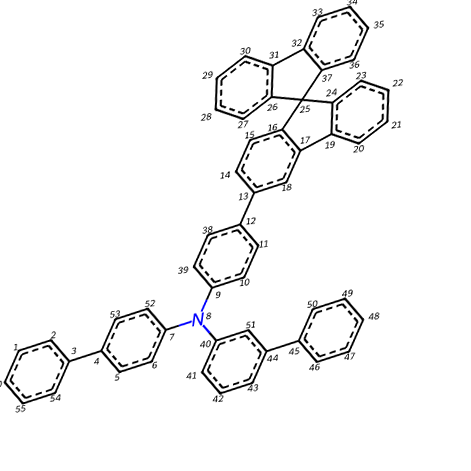 c1ccc(-c2ccc(N(c3ccc(-c4ccc5c(c4)-c4ccccc4C54c5ccccc5-c5ccccc54)cc3)c3cccc(-c4ccccc4)c3)cc2)cc1